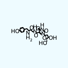 N[C@@H](Cc1ccc(O)cc1)C(=O)CNC(=O)c1cn([C@H]2C[C@H](O)[C@@H](CO)O2)c(=O)[nH]c1=O